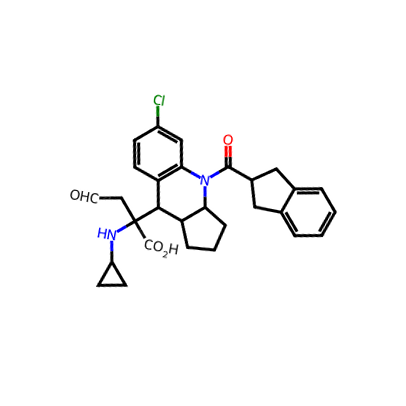 O=CCC(NC1CC1)(C(=O)O)C1c2ccc(Cl)cc2N(C(=O)C2Cc3ccccc3C2)C2CCCC21